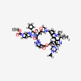 CO[C@@H](C)c1ncc(N2CCN(C3CC3)CC2)cc1-c1c2c3cc(ccc3n1CC(F)(F)F)N1CCO[C@@H](C[C@H](NC(=O)[C@H](C3CCCC3)N3CC[C@]4(CCN(C(=O)OC(C)(C)C)C4)C3)C(=O)N3CCC[C@H](N3)C(=O)OCC(C)(C)C2)C1